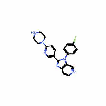 Fc1ccc(-n2c(-c3ccc(N4CCNCC4)nc3)nc3ccncc32)cc1